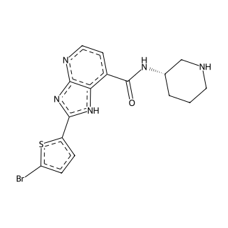 O=C(N[C@H]1CCCNC1)c1ccnc2nc(-c3ccc(Br)s3)[nH]c12